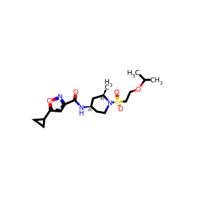 CC(C)OCCS(=O)(=O)N1CC[C@@H](NC(=O)c2cc(C3CC3)on2)C[C@H]1C